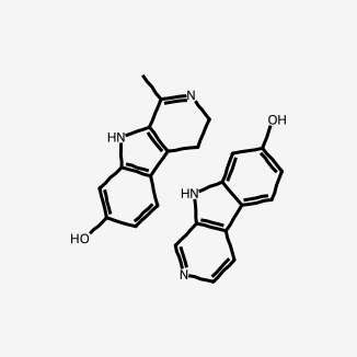 CC1=NCCc2c1[nH]c1cc(O)ccc21.Oc1ccc2c(c1)[nH]c1cnccc12